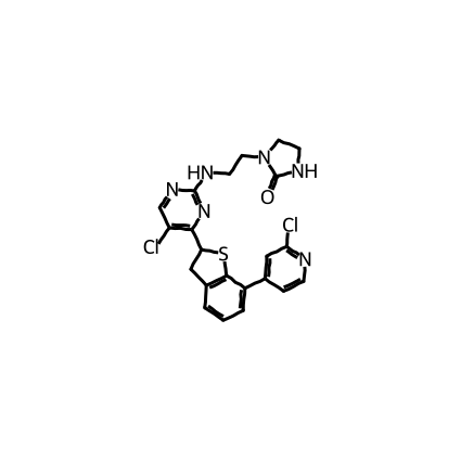 O=C1NCCN1CCNc1ncc(Cl)c(C2Cc3cccc(-c4ccnc(Cl)c4)c3S2)n1